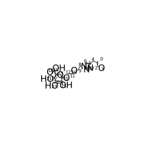 C[C@H](C=O)Cc1cn(CCOCCOC2OC(C(=O)O)C(O)[C@H](O)[C@@H]2O)nn1